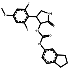 COc1cc(F)c(C2CNC(=O)C2NC(=O)Nc2ccc3c(c2)CCC3)c(F)c1